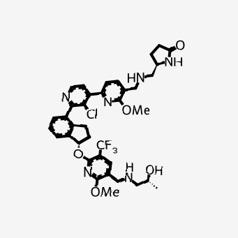 COc1nc(-c2ccnc(-c3cccc4c3CC[C@@H]4Oc3nc(OC)c(CNC[C@@H](C)O)cc3C(F)(F)F)c2Cl)ccc1CNC[C@H]1CCC(=O)N1